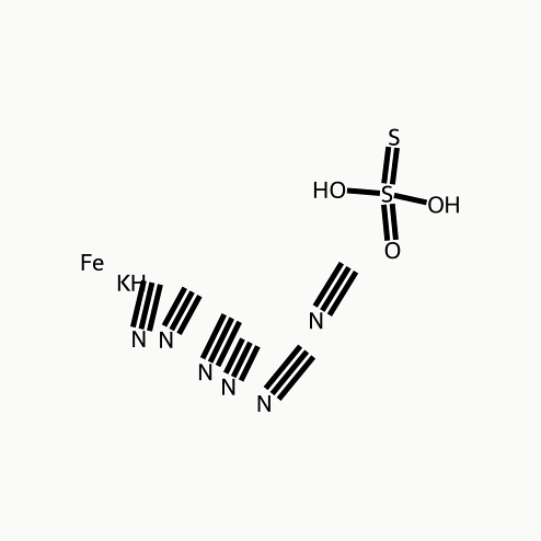 C#N.C#N.C#N.C#N.C#N.C#N.O=S(O)(O)=S.[Fe].[KH]